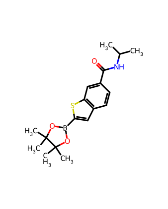 CC(C)NC(=O)c1ccc2cc(B3OC(C)(C)C(C)(C)O3)sc2c1